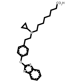 O=C(O)CCCCCCCN(CCc1ccc(Oc2nc3ccccc3s2)cc1)C1CC1